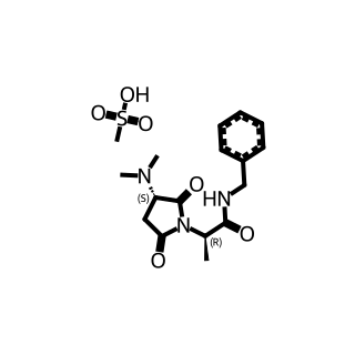 CS(=O)(=O)O.C[C@H](C(=O)NCc1ccccc1)N1C(=O)C[C@H](N(C)C)C1=O